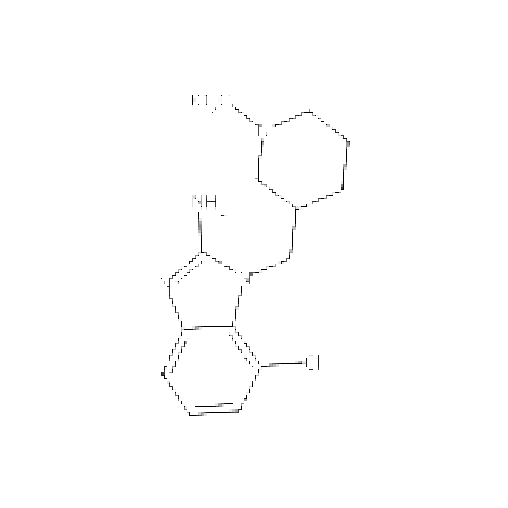 Nc1nc2cccc(Cl)c2n1CC1CCCN(C(=O)O)C1